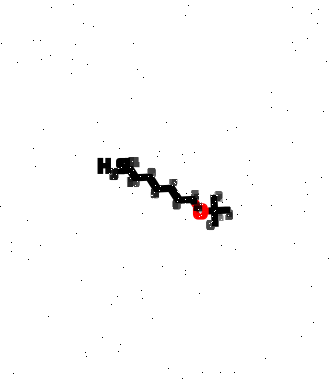 CC(C)(C)OCCCCCC[SiH3]